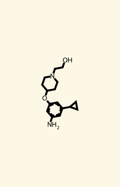 Nc1cc(OC2CCN(CCO)CC2)cc(C2CC2)c1